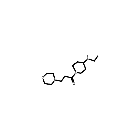 CCNC1CCN(C(=O)CCN2CCOCC2)CC1